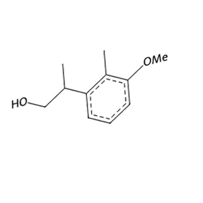 COc1cccc(C(C)CO)c1C